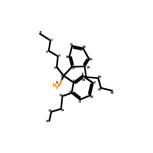 CCCCCC(P)(c1ccccc1CCCC)c1ccccc1CCCC